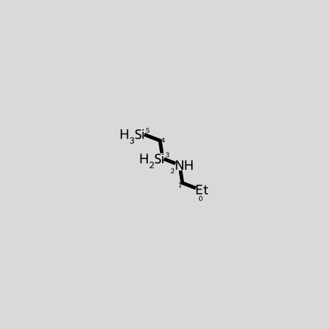 CCCN[SiH2]C[SiH3]